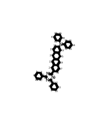 c1ccc(-c2nc(-c3ccccc3)nc(-c3ccc4cc5c(cc4c3)Cc3ccc(N(c4ccccc4)c4ccccc4)cc3C5)n2)cc1